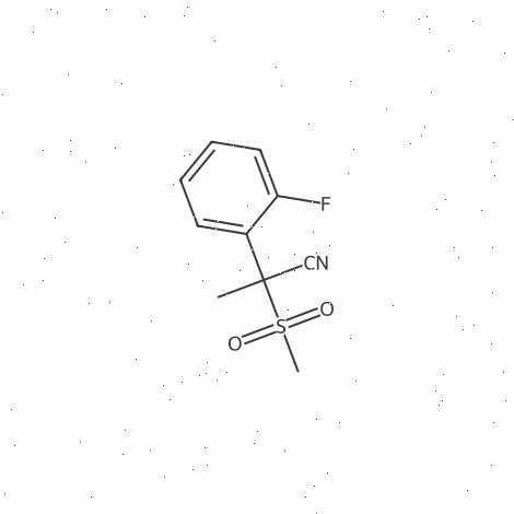 CC(C#N)(c1ccccc1F)S(C)(=O)=O